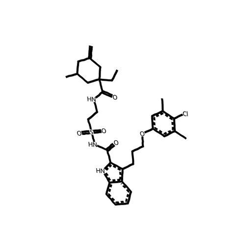 C=C1CC(C)CC(CC)(C(=O)NCCS(=O)(=O)NC(=O)c2[nH]c3ccccc3c2CCCOc2cc(C)c(Cl)c(C)c2)C1